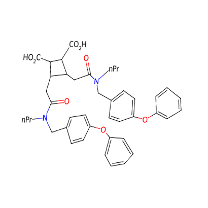 CCCN(Cc1ccc(Oc2ccccc2)cc1)C(=O)CC1C(CC(=O)N(CCC)Cc2ccc(Oc3ccccc3)cc2)C(C(=O)O)C1C(=O)O